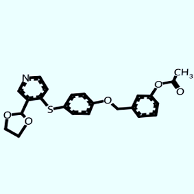 CC(=O)Oc1cccc(COc2ccc(Sc3ccncc3C3OCCO3)cc2)c1